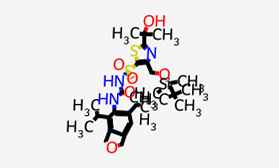 CC(C)c1cc2c(c(C(C)C)c1NC(=O)NS(=O)(=O)c1sc(C(C)(C)O)nc1CO[Si](C)(C)C(C)(C)C)COC2